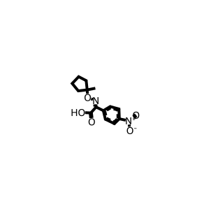 CC1(O/N=C(\C(=O)O)c2ccc([N+](=O)[O-])cc2)CCCC1